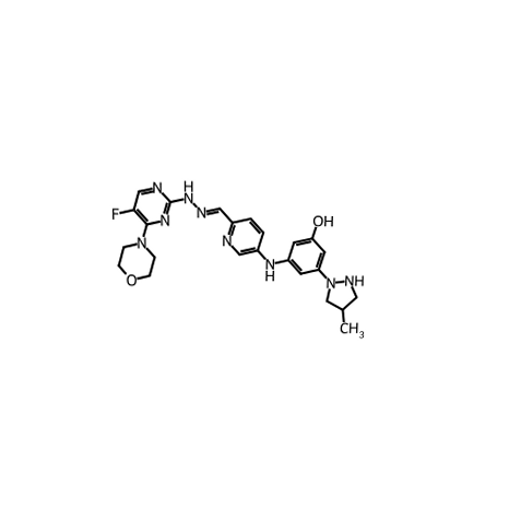 CC1CNN(c2cc(O)cc(Nc3ccc(/C=N/Nc4ncc(F)c(N5CCOCC5)n4)nc3)c2)C1